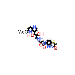 COc1ccc2nccc([C@H](O)[C@@H](O)CNC[C@@H]3CN(c4ccc5c(c4)NC(=O)CS5)C(=O)O3)c2n1